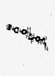 N#CCNC(=O)c1ccc(-c2nc(Nc3ccc(N4CCC(N5C6CSCC5C6)CC4)cc3)ncc2F)cc1